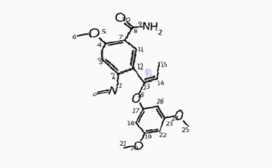 C=Nc1cc(OC)c(C(N)=O)cc1/C(=C\C)Oc1cc(OC)cc(OC)c1